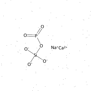 O=P(=O)O[Si]([O-])([O-])[O-].[Ca+2].[Na+]